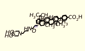 C=C(C)[C@@H]1CC[C@]2(/C=C/C(=O)NCCCN3CCS(O)(O)CC3)CC[C@]3(C)[C@H](CC[C@@H]4[C@@]5(C)CC=C(c6ccc(C(=O)O)cc6)C(C)(C)[C@@H]5CC[C@]43C)[C@@H]12